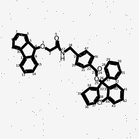 O=C(COC1c2ccccc2-c2ccccc21)NCc1ccc(C(=O)OC(c2ccccc2)(c2ccccc2)c2ccccc2Cl)cc1